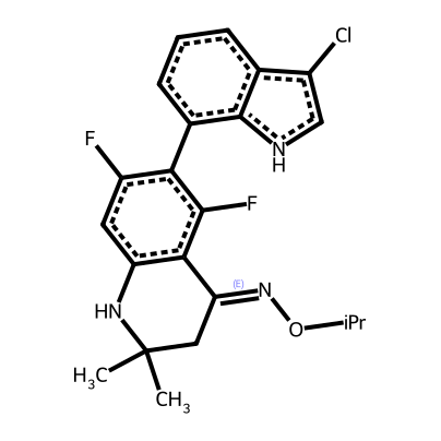 CC(C)O/N=C1\CC(C)(C)Nc2cc(F)c(-c3cccc4c(Cl)c[nH]c34)c(F)c21